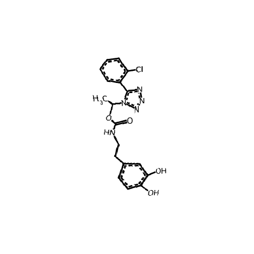 CC(OC(=O)NCCc1ccc(O)c(O)c1)n1nnnc1-c1ccccc1Cl